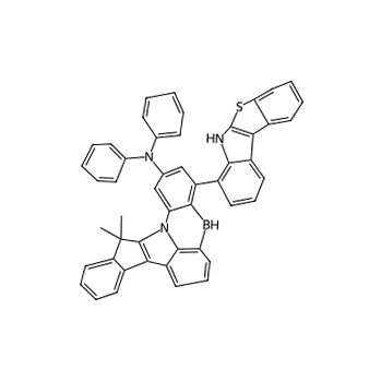 CC1(C)c2ccccc2-c2c1n1c3c(cccc23)Bc2c(-c3cccc4c3[nH]c3sc5ccccc5c34)cc(N(c3ccccc3)c3ccccc3)cc2-1